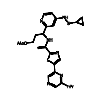 C=C(NC(CCOC)c1cc(NSC2CC2)ccn1)c1ncc(-c2cncc(CCC)n2)s1